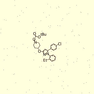 CCc1ccccc1-n1nc(OC2CCN(OC(=O)OC(C)(C)C)CC2)cc1-c1ccc(Cl)cc1